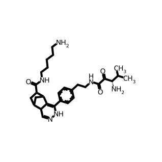 CC(C)[C@H](N)C(=O)C(=O)NCCc1ccc(C2=C3C(C=NN2)C2CC(C(=O)NCCCCCN)C3C2)cc1